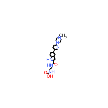 CN1CCN(c2ccc(-c3ccc4[nH]c(C(=O)NCCNC(=O)O)cc4c3)cn2)CC1